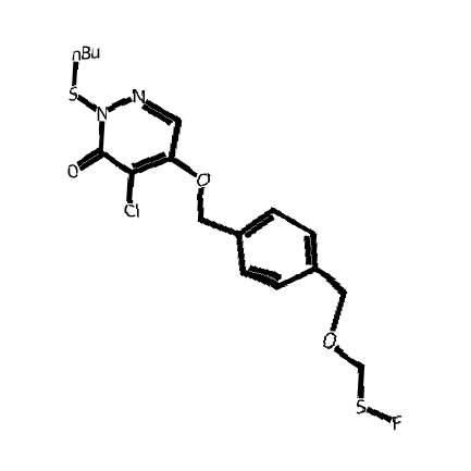 CCCCSn1ncc(OCc2ccc(COCSF)cc2)c(Cl)c1=O